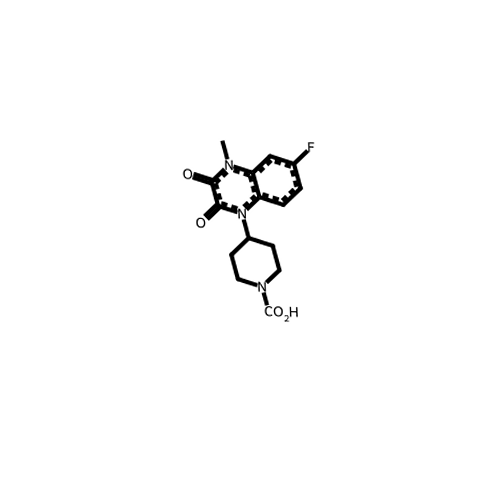 Cn1c(=O)c(=O)n(C2CCN(C(=O)O)CC2)c2ccc(F)cc21